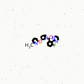 Cc1cccc(OC2CC3CC2N(C(=O)c2cccc(F)c2-c2ncccn2)C3)n1